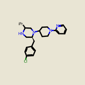 CC(C)C1CN(C2CCN(c3ccccn3)CC2)[C@@H](Cc2ccc(Cl)cc2)CN1